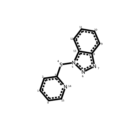 c1ccc(Sn2nnc3ccccc32)nc1